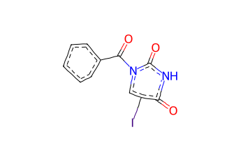 O=C(c1ccccc1)n1cc(I)c(=O)[nH]c1=O